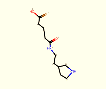 O=C(CCCC(O)=S)NCCC1CCNC1